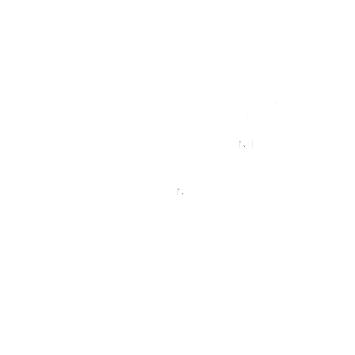 C[C@@H]1O[C@H](C)C(=O)N[C@@H]1CN(Cc1ccccc1)Cc1ccccc1